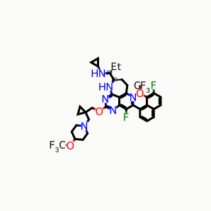 CC[C@H](NC1CC1)[C@H]1CCc2nc(-c3cccc4ccc(F)c(OC(F)(F)F)c34)c(F)c3nc(OCC4(CN5CCC(OC(F)(F)F)CC5)CC4)nc(c23)N1